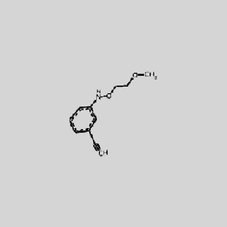 C#Cc1cccc(NOCCOC)c1